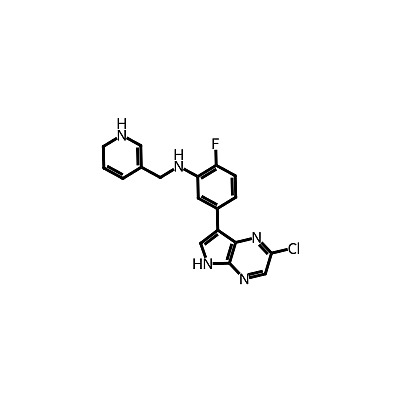 Fc1ccc(-c2c[nH]c3ncc(Cl)nc23)cc1NCC1=CNCC=C1